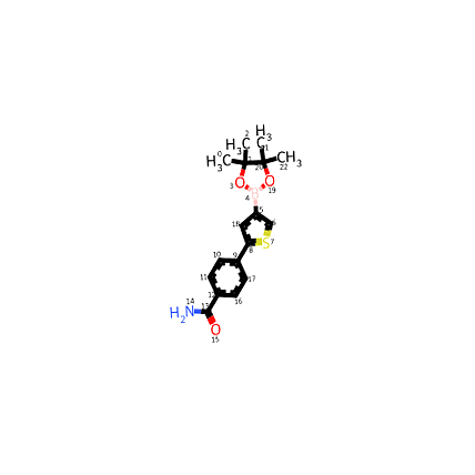 CC1(C)OB(c2csc(-c3ccc(C(N)=O)cc3)c2)OC1(C)C